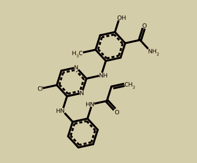 C=CC(=O)Nc1ccccc1Nc1nc(Nc2cc(C(N)=O)c(O)cc2C)ncc1Cl